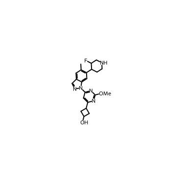 COc1nc(C2CC(O)C2)cc(-n2ncc3cc(C)c(C4CCNCC4F)cc32)n1